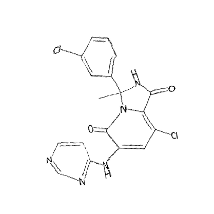 CC1(c2cccc(Cl)c2)NC(=O)c2c(Cl)cc(Nc3ccncn3)c(=O)n21